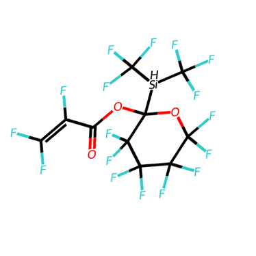 O=C(OC1([SiH](C(F)(F)F)C(F)(F)F)OC(F)(F)C(F)(F)C(F)(F)C1(F)F)C(F)=C(F)F